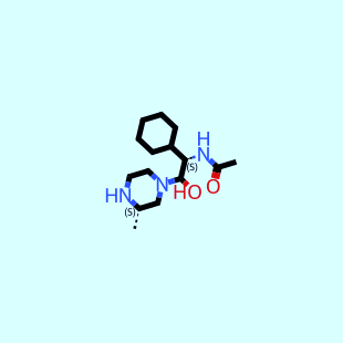 CC(=O)N[C@@H](C1CCCCC1)C(O)N1CCN[C@@H](C)C1